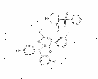 COC(=O)N[C@H](C(=O)Nc1cccc(F)c1CC[C@H]1CNCCN1S(=O)(=O)c1ccccc1)[C@@H](c1ccc(Cl)cc1)c1cncc(F)c1